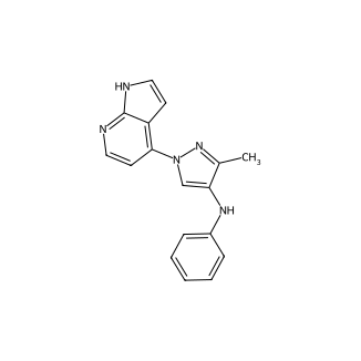 Cc1nn(-c2ccnc3[nH]ccc23)cc1Nc1ccccc1